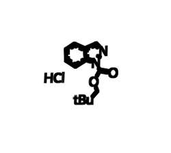 CC(C)(C)COC(=O)n1ncc2ccccc21.Cl